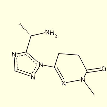 C[C@H](N)c1ncnn1C1=NN(C)C(=O)CC1